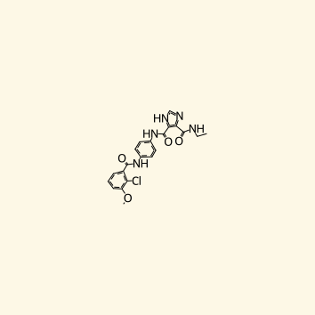 CCNC(=O)c1nc[nH]c1C(=O)Nc1ccc(NC(=O)c2cccc(OC)c2Cl)cc1